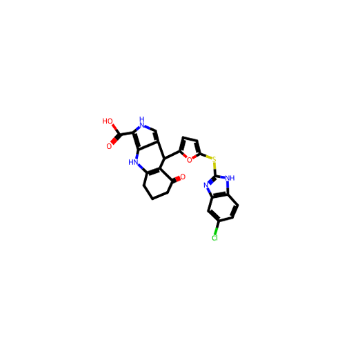 O=C1CCCC2=C1C(c1ccc(Sc3nc4cc(Cl)ccc4[nH]3)o1)c1c[nH]c(C(=O)O)c1N2